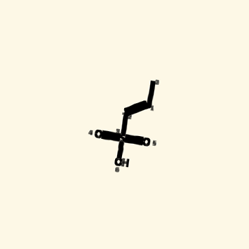 C/C=[C]/S(=O)(=O)O